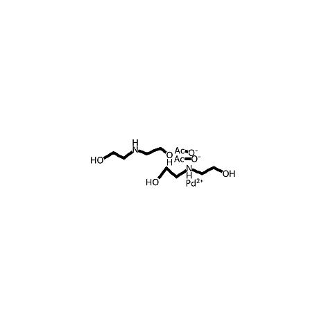 CC(=O)[O-].CC(=O)[O-].OCCNCCO.OCCNCCO.[Pd+2]